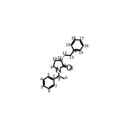 C[C@@H](c1ccccc1)N1CC[C@H](CCc2ccccc2)C1=O